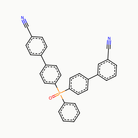 N#Cc1ccc(-c2ccc(P(=O)(c3ccccc3)c3ccc(-c4cccc(C#N)c4)cc3)cc2)cc1